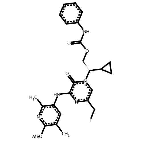 COc1nc(C)c(Nc2nc(CI)cn([C@H](COC(=O)Nc3ccccc3)C3CC3)c2=O)cc1C